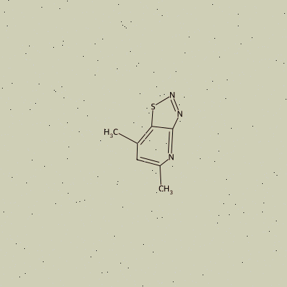 Cc1cc(C)c2snnc2n1